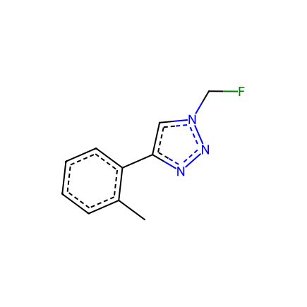 Cc1ccccc1-c1cn(CF)nn1